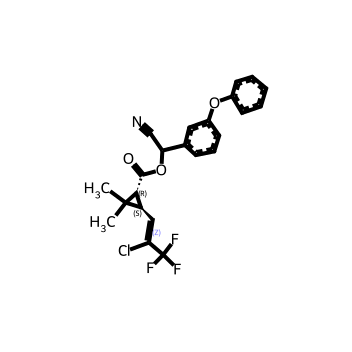 CC1(C)[C@H](/C=C(\Cl)C(F)(F)F)[C@H]1C(=O)OC(C#N)c1cccc(Oc2ccccc2)c1